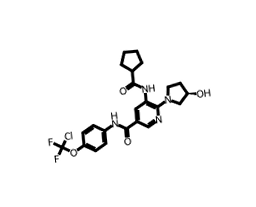 O=C(Nc1ccc(OC(F)(F)Cl)cc1)c1cnc(N2CC[C@@H](O)C2)c(NC(=O)C2CCCC2)c1